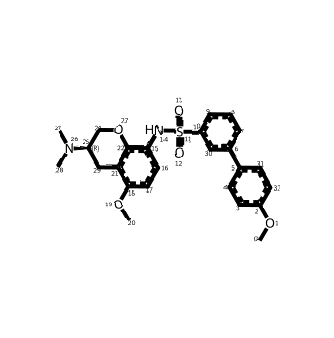 COc1ccc(-c2cccc(S(=O)(=O)Nc3ccc(OC)c4c3OC[C@H](N(C)C)C4)c2)cc1